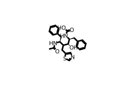 CC(=O)N[C@@H](Cc1ccccc1)C(Cc1cncs1)[C@@H](O)[C@H](Cc1ccccc1)NC(=O)O